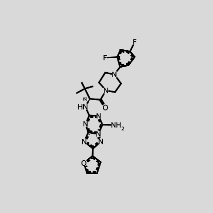 CC(C)(C)[C@H](Nc1nc(N)n2nc(-c3ccco3)nc2n1)C(=O)N1CCN(c2ccc(F)cc2F)CC1